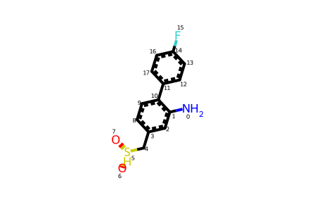 Nc1cc(C[SH](=O)=O)ccc1-c1ccc(F)cc1